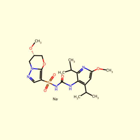 COc1cc(C(C)C)c(NC(=O)NS(=O)(=O)c2cnn3c2OC[C@@H](OC)C3)c(C(C)C)n1.[Na]